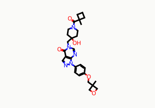 CC1(COc2ccc(-n3ncc4c(=O)n(CC5(O)CCN(C(=O)C6(C)CCC6)CC5)cnc43)cc2)COC1